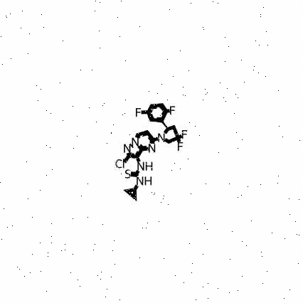 Fc1ccc(F)c([C@H]2CC(F)(F)CN2c2ccn3nc(Cl)c(NC(=S)NC4CC4)c3n2)c1